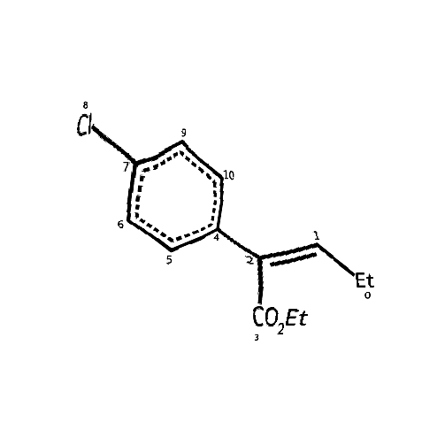 [CH2]CC=C(C(=O)OCC)c1ccc(Cl)cc1